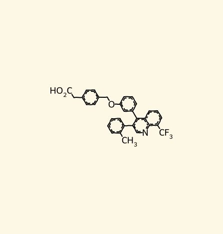 Cc1ccccc1-c1cnc2c(C(F)(F)F)cccc2c1-c1cccc(OCc2ccc(CC(=O)O)cc2)c1